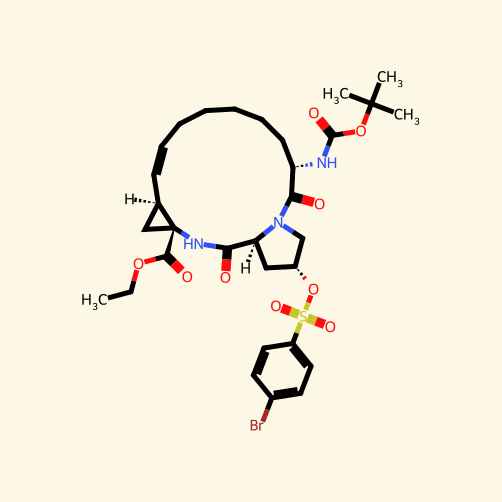 CCOC(=O)[C@@]12C[C@H]1/C=C\CCCCC[C@H](NC(=O)OC(C)(C)C)C(=O)N1C[C@H](OS(=O)(=O)c3ccc(Br)cc3)C[C@H]1C(=O)N2